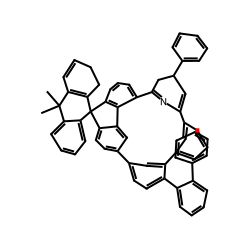 CC1(C)C2=C(CCC=C2)C2(c3ccccc31)c1ccc3cc1c1c2cccc1c1nc(c2cccc(c2)c2cc3ccc2-c2ccccc2-c2ccccc2)=CC(c2ccccc2)C1